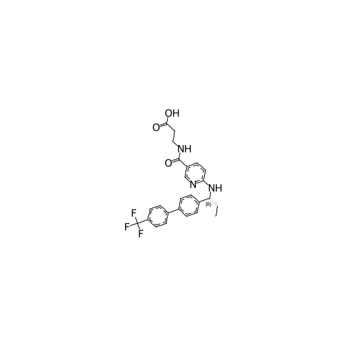 CC[C@@H](Nc1ccc(C(=O)NCCC(=O)O)cn1)c1ccc(-c2ccc(C(F)(F)F)cc2)cc1